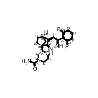 N=C(/C=C1\C(=N)[C@@]2([C@H]3CN(C(N)=O)CCO3)CC[C@@H]1C2)c1c(F)cccc1F